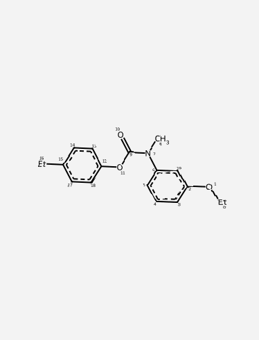 CCOc1cccc(N(C)C(=O)Oc2ccc(CC)cc2)c1